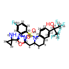 NC1(c2nnc(CC3CCc4cc(C(O)(C(F)(F)F)C(F)(F)F)ccc4N3S(=O)(=O)c3ccc(F)cc3)o2)CC1